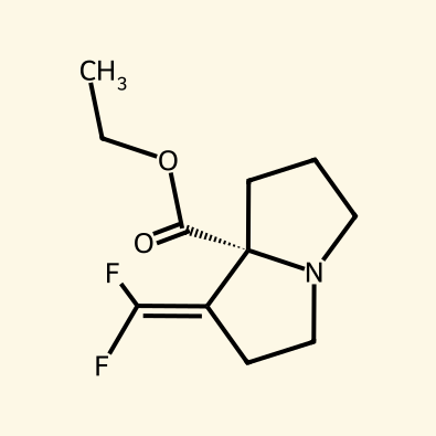 CCOC(=O)[C@]12CCCN1CCC2=C(F)F